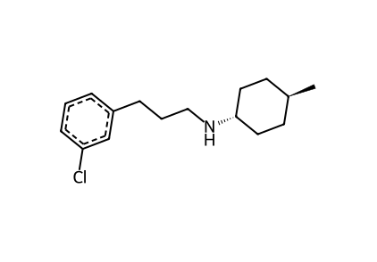 C[C@H]1CC[C@H](NCCCc2cccc(Cl)c2)CC1